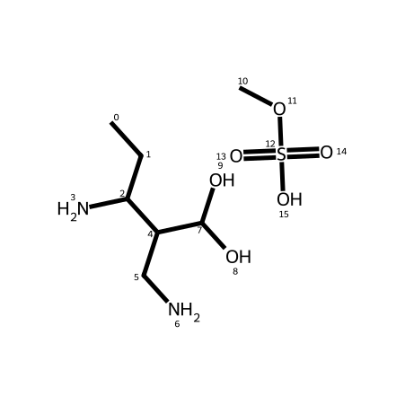 CCC(N)C(CN)C(O)O.COS(=O)(=O)O